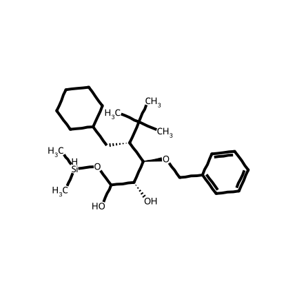 C[SiH](C)OC(O)[C@@H](O)[C@H](OCc1ccccc1)[C@H](CC1CCCCC1)C(C)(C)C